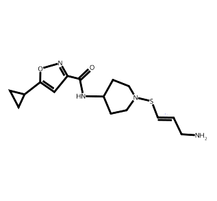 NC/C=C/SN1CCC(NC(=O)c2cc(C3CC3)on2)CC1